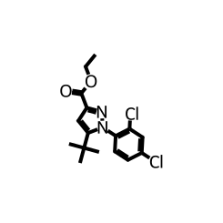 CCOC(=O)c1cc(C(C)(C)C)n(-c2ccc(Cl)cc2Cl)n1